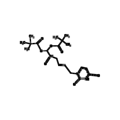 CC(C)(C)C(=O)OC(OC(=O)C(C)(C)C)[PH](=O)CC=CCn1ccc(=O)[nH]c1=O